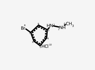 CNNc1cccc(Br)c1.Cl